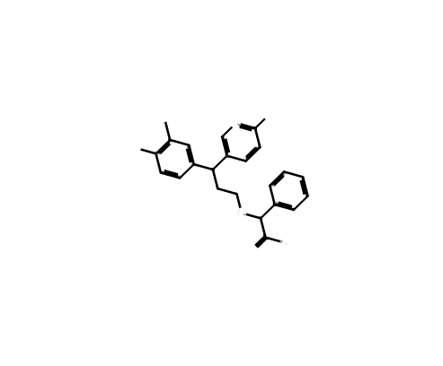 Cc1cc(C(CCNC(C(N)=O)c2ccccc2)c2ccc(C(F)(F)F)nc2)ccc1F